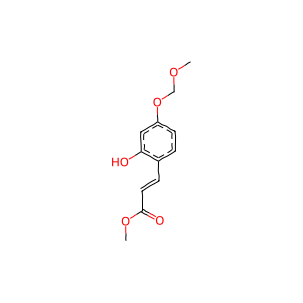 COCOc1ccc(C=CC(=O)OC)c(O)c1